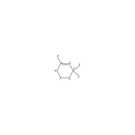 CC1=[C]C(C)(C)CCC1